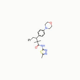 Cc1nnc(NC(=O)C(C)(C)C(CC(C)C)c2ccc(N3CCOCC3)cc2)s1